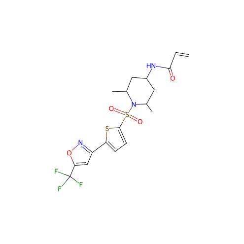 C=CC(=O)NC1CC(C)N(S(=O)(=O)c2ccc(-c3cc(C(F)(F)F)on3)s2)C(C)C1